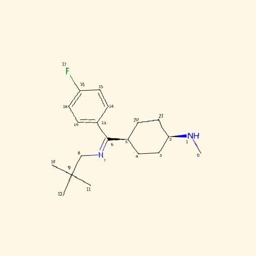 CN[C@H]1CC[C@@H](/C(=N/CC(C)(C)C)c2ccc(F)cc2)CC1